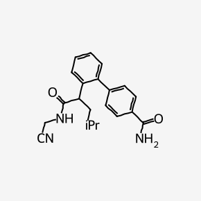 CC(C)CC(C(=O)NCC#N)c1ccccc1-c1ccc(C(N)=O)cc1